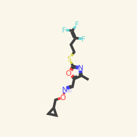 Cc1nc(SCCC(F)=C(F)F)oc1/C=N/OCC1CC1